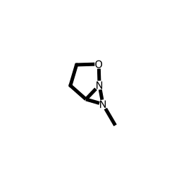 CN1C2CCON21